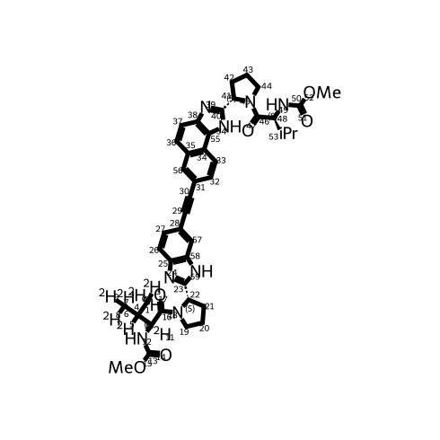 [2H]C([2H])([2H])C([2H])(C([2H])([2H])[2H])[C@@]([2H])(NC(=O)OC)C(=O)N1CCC[C@H]1c1nc2ccc(C#Cc3ccc4c(ccc5nc([C@@H]6CCCN6C(=O)[C@@H](NC(=O)OC)C(C)C)[nH]c54)c3)cc2[nH]1